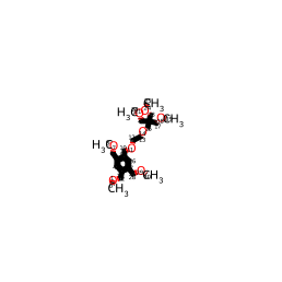 COCc1cc(COC)c(COCCOCC(COC)(COC)COC)cc1COC